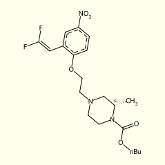 CCCCOC(=O)N1CCN(CCOc2ccc([N+](=O)[O-])cc2C=C(F)F)C[C@@H]1C